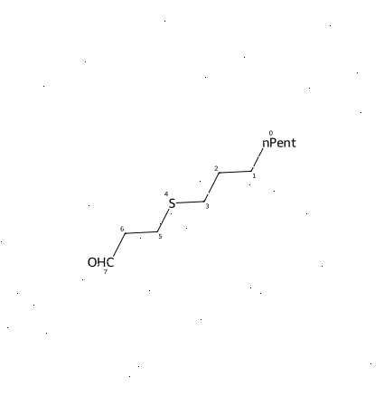 CCCCCCCCSCCC=O